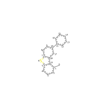 Cc1cccc2sc3ccc(-c4ccccc4)cc3c12